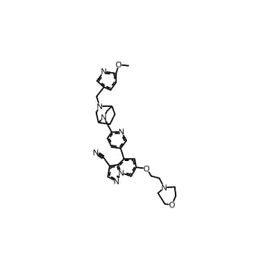 COc1ccc(CN2CC3CCC2CN3c2ccc(-c3cc(OCCN4CCOCC4)cn4ncc(C#N)c34)cn2)cn1